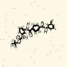 Cc1cccc(NC(=O)c2ccc(C(=O)Nc3cccc(NC(=O)OC(C)(C)C)c3)cc2)c1